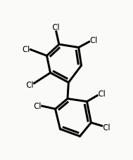 Clc1cc(-c2c(Cl)ccc(Cl)c2Cl)c(Cl)c(Cl)c1Cl